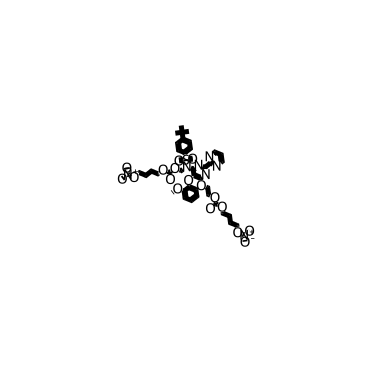 COc1ccccc1Oc1c(OCCOC(=O)OCCCCO[N+](=O)[O-])nc(-c2ncccn2)nc1N(COC(=O)OCCCCO[N+](=O)[O-])S(=O)(=O)c1ccc(C(C)(C)C)cc1